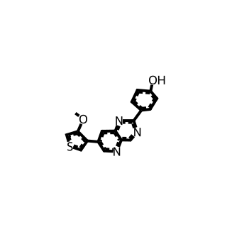 COc1cscc1-c1cnc2cnc(-c3ccc(O)cc3)nc2c1